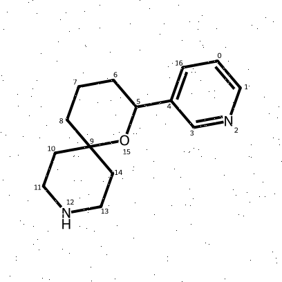 c1cncc(C2CCCC3(CCNCC3)O2)c1